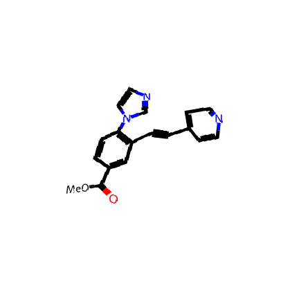 COC(=O)c1ccc(-n2ccnc2)c(C#Cc2ccncc2)c1